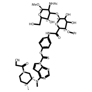 CO[C@@H]1OC(CO)[C@@H](O)C(O[C@@H]2OC(C(=O)Nc3ccc(OC(=S)n4ccc5c(N(C)[C@H]6CN(C(=O)CC#N)CC[C@H]6C)ncnc54)cc3)[C@@H](OC(C)C)C(O)C2O)C1NC(C)=O